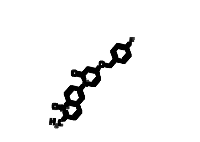 Cc1ccc2cc(-n3ccc(OCc4ccc(F)cc4)cc3=O)ccc2[n+]1[O-]